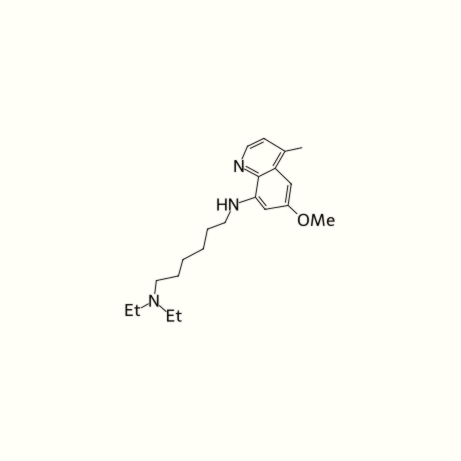 CCN(CC)CCCCCCNc1cc(OC)cc2c(C)ccnc12